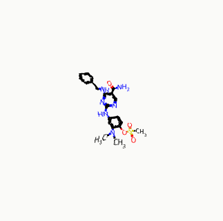 CN(C)c1cc(Nc2ncc(C(N)=O)c(NCc3ccccc3)n2)ccc1OS(C)(=O)=O